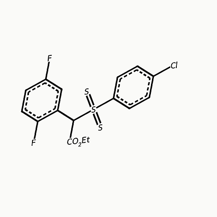 CCOC(=O)C(c1cc(F)ccc1F)S(=S)(=S)c1ccc(Cl)cc1